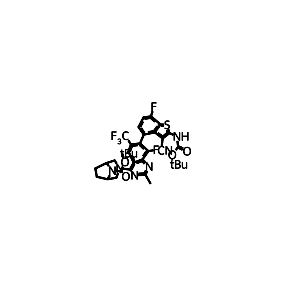 Cc1nc(N2CC3CCC(C2)N3C(=O)OC(C)(C)C)c2cc(C(F)(F)F)c(-c3ccc(F)c4sc(NC(=O)OC(C)(C)C)c(C#N)c34)c(F)c2n1